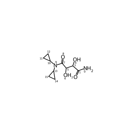 NC(=O)C(O)C(O)C(=O)N(C1CC1)C1CC1